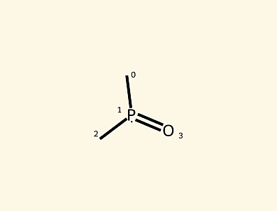 C[P](C)=O